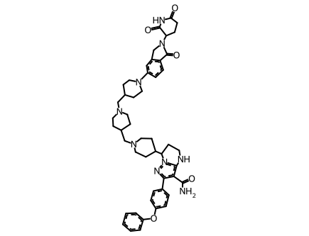 NC(=O)c1c(-c2ccc(Oc3ccccc3)cc2)nn2c1NCCC2C1CCN(CC2CCN(CC3CCN(c4ccc5c(c4)CN(C4CCC(=O)NC4=O)C5=O)CC3)CC2)CC1